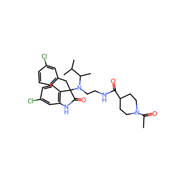 CC(=O)N1CCC(C(=O)NCCN(C(C)C(C)C)C2(Cc3cccc(Cl)c3)C(=O)Nc3cc(Cl)ccc32)CC1